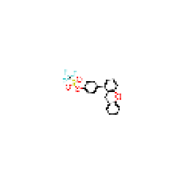 O=S(=O)(Oc1ccc(-c2cccc3c2Cc2ccccc2O3)cc1)C(F)(F)F